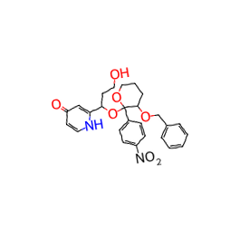 O=c1cc[nH]c(C(CCO)OC2(c3ccc([N+](=O)[O-])cc3)OCCCC2OCc2ccccc2)c1